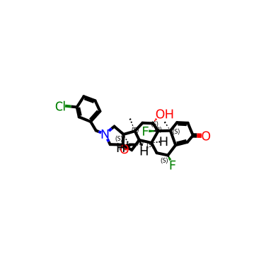 CC(=O)[C@@]12CN(Cc3cccc(Cl)c3)C[C@@H]1C[C@H]1[C@@H]3C[C@H](F)C4=CC(=O)C=C[C@]4(C)[C@@]3(F)[C@@H](O)C[C@@]12C